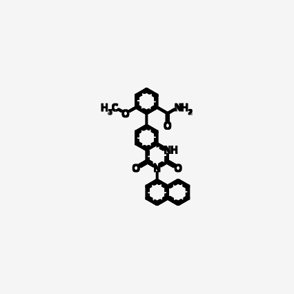 COc1cccc(C(N)=O)c1-c1ccc2c(=O)n(-c3cccc4ccccc34)c(=O)[nH]c2c1